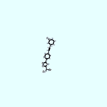 CCC(Br)c1nc(-c2ccc(C#Cc3cccc(F)c3)cn2)no1